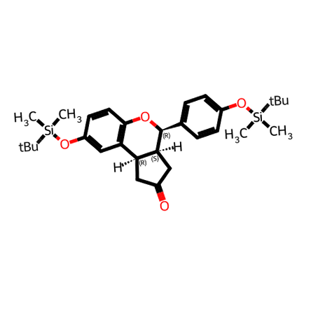 CC(C)(C)[Si](C)(C)Oc1ccc([C@@H]2Oc3ccc(O[Si](C)(C)C(C)(C)C)cc3[C@@H]3CC(=O)C[C@@H]32)cc1